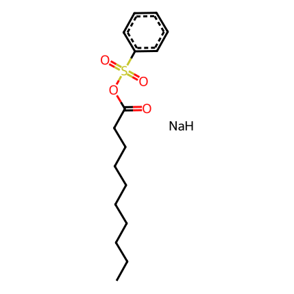 CCCCCCCCCC(=O)OS(=O)(=O)c1ccccc1.[NaH]